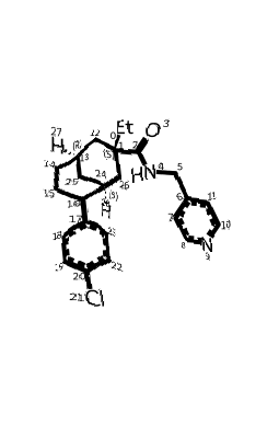 CC[C@]1(C(=O)NCc2ccncc2)C[C@@H]2CCC(c3ccc(Cl)cc3)[C@@H](C2)C1